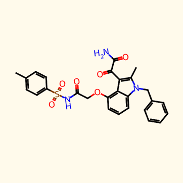 Cc1ccc(S(=O)(=O)NC(=O)COc2cccc3c2c(C(=O)C(N)=O)c(C)n3Cc2ccccc2)cc1